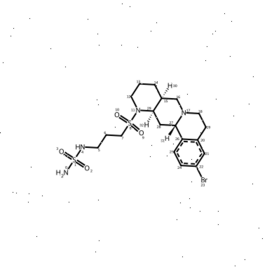 NS(=O)(=O)NCCCS(=O)(=O)N1CCC[C@H]2CN3CCc4cc(Br)ccc4[C@@H]3C[C@H]21